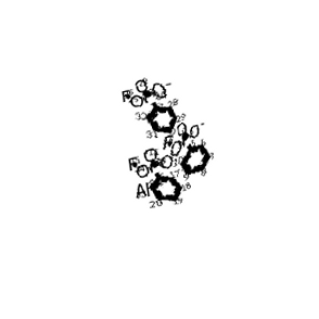 O=P([O-])(OF)c1ccccc1.O=P([O-])(OF)c1ccccc1.O=P([O-])(OF)c1ccccc1.[Al+3]